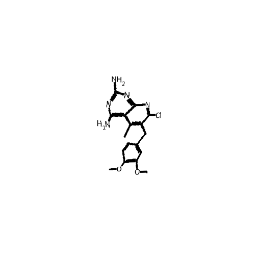 COc1ccc(Cc2c(Cl)nc3nc(N)nc(N)c3c2C)cc1OC